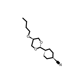 CCCCO[C@H]1CO[C@H]([C@H]2CC[C@H](C#N)CC2)OC1